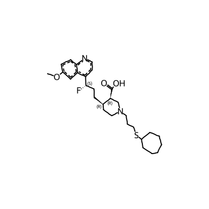 COc1ccc2nccc([C@@H](F)CC[C@@H]3CCN(CCCSC4CCCCCC4)C[C@@H]3C(=O)O)c2c1